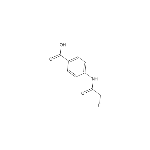 O=C(CF)Nc1ccc(C(=O)O)cc1